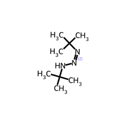 CC(C)(C)/N=N\NC(C)(C)C